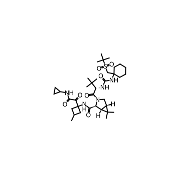 CC1CC(NC(=O)[C@@H]2[C@@H]3[C@H](CN2C(=O)[C@@H](NC(=O)NC2(CS(=O)(=O)C(C)(C)C)CCCCC2)C(C)(C)C)C3(C)C)(C(=O)C(=O)NC2CC2)C1